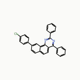 Clc1ccc(-c2ccc3ccc4c(-c5ccccc5)nc(-c5ccccc5)nc4c3c2)cc1